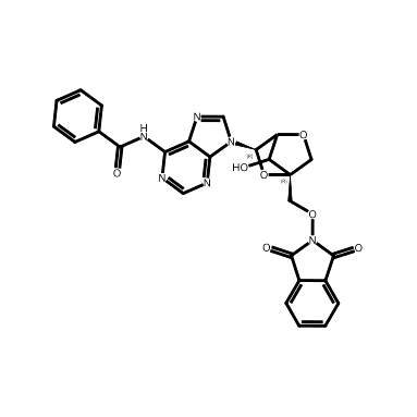 O=C(Nc1ncnc2c1ncn2[C@@H]1O[C@@]2(CON3C(=O)c4ccccc4C3=O)COC1C2O)c1ccccc1